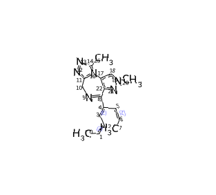 C\C=C/C=C(\C=C/C)C1=NCc2nnc(C)n2-c2cn(C)nc21